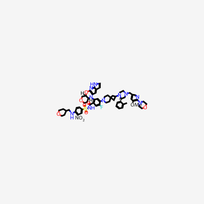 COc1cc(CN2CCN(C3CC4(CCN(c5cc(N6c7cc8cc[nH]c8nc7O[C@H]7COCC[C@@H]76)c(C(=O)NS(=O)(=O)c6ccc(NCC7CCOCC7)c([N+](=O)[O-])c6)cc5F)CC4)C3)[C@H](c3ccccc3C)C2)cnc1N1CCOCC1